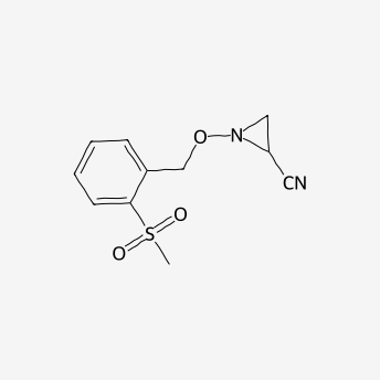 CS(=O)(=O)c1ccccc1CON1CC1C#N